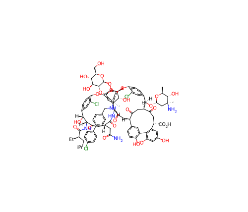 CC[C@H](CC(C)C)C(=O)N[C@H]1C(=O)C[C@@H](CC(N)=O)C(=O)N[C@H]2C(=O)C[C@H]3C(=O)C[C@H](C(=O)C[C@H](C(=O)O)c4cc(O)cc(O)c4-c4cc3ccc4O)[C@H](O[C@H]3C[C@](C)(N)[C@@H](O)[C@H](C)O3)c3ccc(c(Cl)c3)Oc3cc2cc(c3O[C@@H]2O[C@H](CO)[C@@H](O)[C@H](O)[C@H]2O[C@H]2C[C@](C)(NCc3ccc(-c4ccc(Cl)cc4)cc3)[C@@H](O)[C@H](C)O2)Oc2ccc(cc2Cl)[C@H]1O